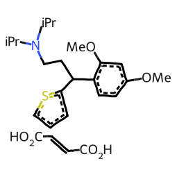 COc1ccc(C(CCN(C(C)C)C(C)C)c2cccs2)c(OC)c1.O=C(O)C=CC(=O)O